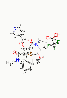 COC[C@H]1CCCN1C(=O)c1sc2c(c1OCc1ccncc1)c(=O)n(C)c1ccccc21.O=C(O)C(F)(F)F